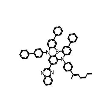 C=C/C=C\C=C(/C)c1ccc(N2c3ccc(-c4ccccc4)cc3B3c4cc(-c5ccccc5)ccc4N(c4ccc(-c5ccccc5)cc4)c4cc(-c5cnc6ccccc6n5)cc2c43)cc1